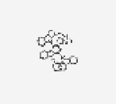 CC1C=Cc2c1n(-c1c(C#N)cc(-n3c4ccccc4c4ccccc43)c3c1c1ccccc1n3-c1ccccc1)c1ccccc21